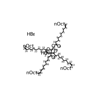 Br.CCCCCCCC/C=C\CCCCCCCC(=O)OCC(OC(=O)CCCCCCC/C=C\CCCCCCCC)C(N)(C(=O)CCCCCCC/C=C\CCCCCCCC)C(=O)CCCCCCC/C=C\CCCCCCCC